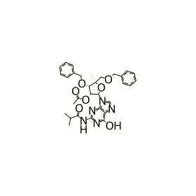 CC(=O)O[C@H]1[C@H](n2cnc3c(O)nc(NC(=O)C(C)C)nc32)O[C@](C)(COCc2ccccc2)[C@H]1OCc1ccccc1